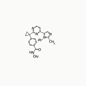 Cc1ncc(-c2ccnc(C3(c4ccc(C(=O)NO)cc4)CC3)n2)n1C(C)C